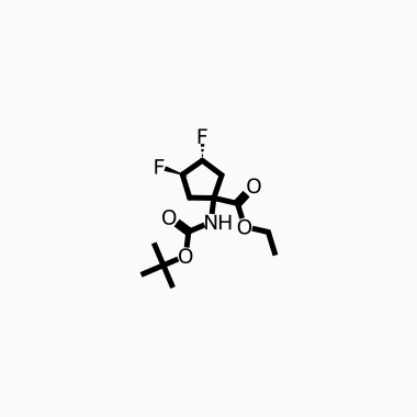 CCOC(=O)C1(NC(=O)OC(C)(C)C)C[C@@H](F)[C@H](F)C1